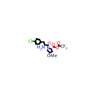 CO[C@@H]1C[C@@H](C(=O)OC(=O)C(F)(F)F)N(C(=O)[C@H](N)Cc2ccc(Cl)cc2)C1